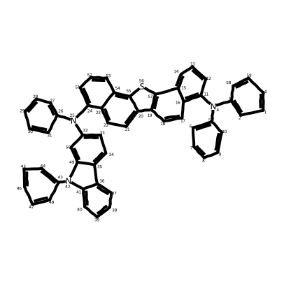 c1ccc(N(c2ccccc2)c2cccc3c2ccc2c4ccc5c(N(c6ccccc6)c6ccc7c8ccccc8n(-c8ccccc8)c7c6)cccc5c4sc32)cc1